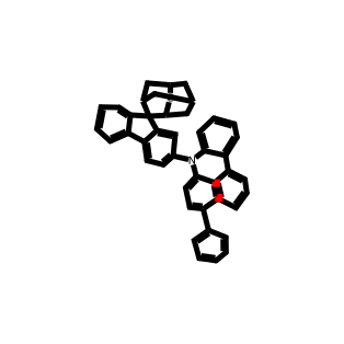 c1ccc(-c2ccc(N(c3ccc4c(c3)C3(c5ccccc5-4)C4CC5CC(C4)CC3C5)c3ccccc3-c3ccccc3)cc2)cc1